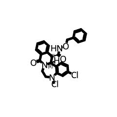 O=C(NOCc1ccccc1)[C@@H]1c2ccccc2C(=O)N2CCN(Cl)c3cc(Cl)ccc3[C@@H]12